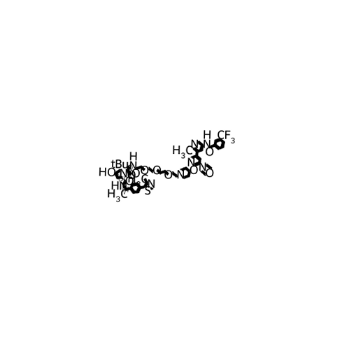 Cc1ncc(NC(=O)c2cccc(C(F)(F)F)c2)cc1-c1cnc(OC2CCN(CCOCCOCCOCC(=O)N[C@H](C(=O)N3C[C@H](O)C[C@H]3C(=O)N[C@@H](C)c3ccc(-c4scnc4C)cc3)C(C)(C)C)CC2)c(N2CCOCC2)c1